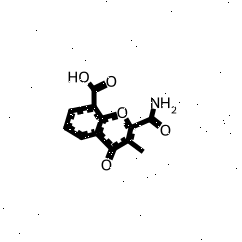 Cc1c(C(N)=O)oc2c(C(=O)O)cccc2c1=O